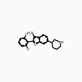 Nc1c(-c2c(Cl)[c]ccc2Cl)oc2cc(C3CCCNC3)ccc12